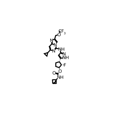 O=C(NC12CC(C1)C2)O[C@@H]1CC[C@H](c2cc(Nc3nc(C4CC4)cc4nc(COC(F)(F)F)cn34)n[nH]2)[C@@H]1F